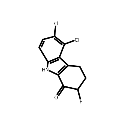 O=C1c2[nH]c3ccc(Cl)c(Cl)c3c2CCC1F